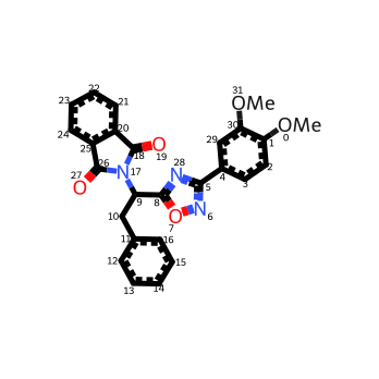 COc1ccc(-c2noc(C(Cc3ccccc3)N3C(=O)c4ccccc4C3=O)n2)cc1OC